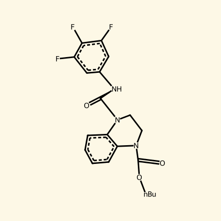 CCCCOC(=O)N1CCN(C(=O)Nc2cc(F)c(F)c(F)c2)c2ccccc21